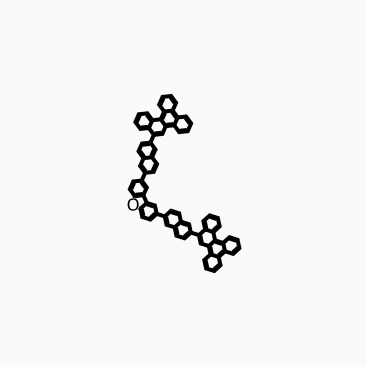 c1ccc2c(c1)c(-c1ccc3cc(-c4ccc5oc6ccc(-c7ccc8cc(-c9cc%10c%11ccccc%11c%11ccccc%11c%10c%10ccccc9%10)ccc8c7)cc6c5c4)ccc3c1)cc1c3ccccc3c3ccccc3c21